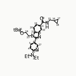 CCN(CC)c1ccc(-c2nc3cc(C(=O)NCC4CC4)ccc3n2CCOC(C)(C)C)cn1